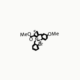 COC(=O)c1scc(C)c1N(Cc1ccccc1Br)Sc1ccc(OC)cc1